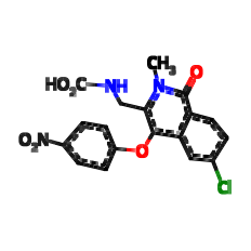 Cn1c(CNC(=O)O)c(Oc2ccc([N+](=O)[O-])cc2)c2cc(Cl)ccc2c1=O